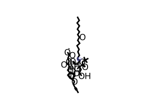 CC#CCOc1ccc(C[C@H](NC(=O)[C@@H](/C=C/CCCCCCC(=O)CCCCCCC)C(O)(CC(=O)O)C(=O)OC(C)(C)C)C(=O)OCC(=O)OC)cc1